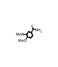 CNc1cc(C(N)=S)ccc1OC